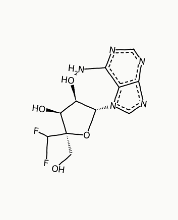 Nc1ncnc2ncn([C@@H]3O[C@@](CO)(C(F)F)[C@@H](O)[C@H]3O)c12